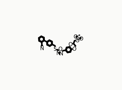 CS(=O)(=O)OCC1COc2ccc(-c3nnc(SCc4ccc(-c5ccccc5C#N)cc4)o3)cc2O1